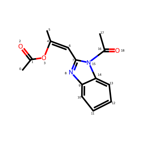 CC(=O)OC(C)=Cc1nc2ccccc2n1C(C)=O